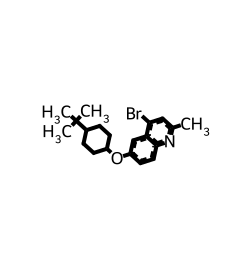 Cc1cc(Br)c2cc(OC3CCC(C(C)(C)C)CC3)ccc2n1